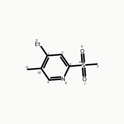 CCc1cc(S(C)(=O)=O)ncc1C